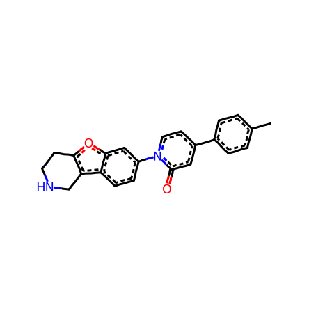 Cc1ccc(-c2ccn(-c3ccc4c5c(oc4c3)CCNC5)c(=O)c2)cc1